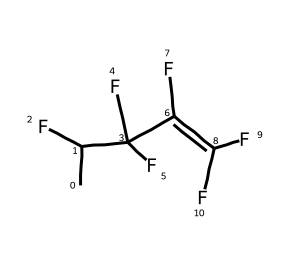 CC(F)C(F)(F)C(F)=C(F)F